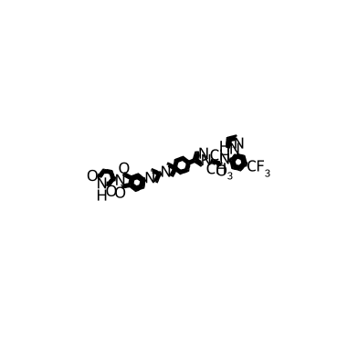 CC(C)(C(=O)Nc1ccc(C(F)(F)F)cc1-n1cccn1)n1cc(C2CCC3(CC2)CN(C2CN(c4ccc5c(c4)C(=O)N(C4CCC(=O)NC4=O)C5=O)C2)C3)cn1